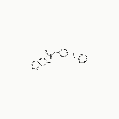 O=C(NCc1ccc(OCc2ccccc2)cc1)c1cc2cccnc2cc1F